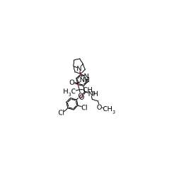 COCCNC(=O)c1ccc(N2C3CCC2CC(NC(=O)C(C)(C)Oc2ccc(Cl)cc2Cl)C3)nc1